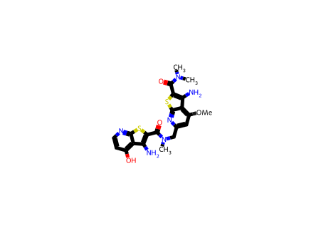 COc1cc(CN(C)C(=O)c2sc3nccc(O)c3c2N)nc2sc(C(=O)N(C)C)c(N)c12